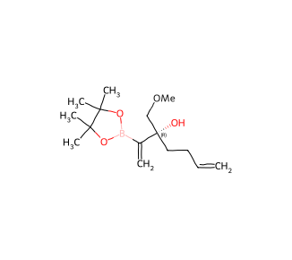 C=CCC[C@](O)(COC)C(=C)B1OC(C)(C)C(C)(C)O1